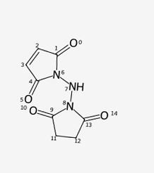 O=C1C=CC(=O)N1NN1C(=O)CCC1=O